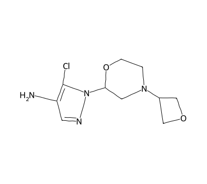 Nc1cnn(C2CN(C3COC3)CCO2)c1Cl